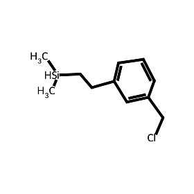 C[SiH](C)CCc1cccc(CCl)c1